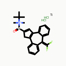 CC(C)(C)[N+](C)(C)[Si](=O)C1=CC2=C(C1)c1ccccc1C(=C(F)F)c1ccccc12.Cl.Cl.[Ti]